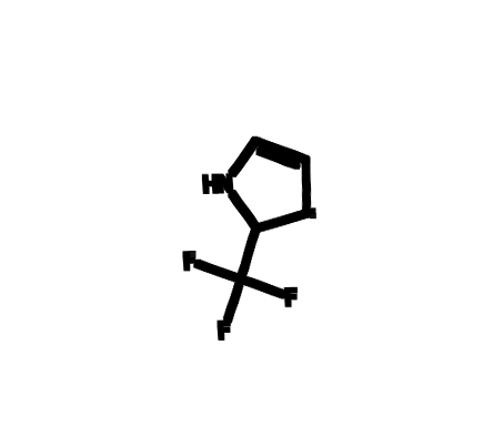 FC(F)(F)C1[C]C=CN1